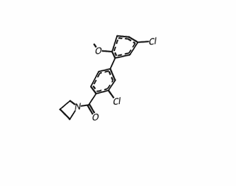 COc1ccc(Cl)cc1-c1ccc(C(=O)N2CCC2)c(Cl)c1